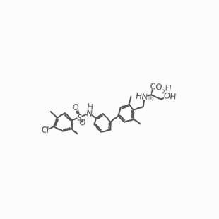 Cc1cc(S(=O)(=O)Nc2cccc(-c3cc(C)c(CN[C@H](CO)C(=O)O)c(C)c3)c2)c(C)cc1Cl